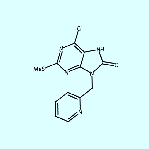 CSc1nc(Cl)c2[nH]c(=O)n(Cc3ccccn3)c2n1